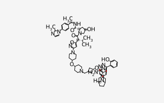 Cc1nccn1-c1ccc([C@H](C)NC(=O)[C@@H]2C[C@@H](O)CN2C(=O)[C@@H](c2cc(N3CCC(OC4CCN(CC5CC(Oc6cc(N7C8CC[C@@H]7CN(c7cc(-c9ccccc9O)nnc7N)C8)ccn6)C5)CC4)CC3)no2)C(C)C)cc1